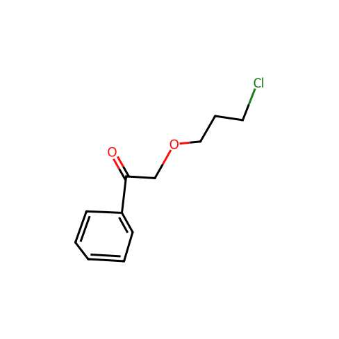 O=C(COCCCCl)c1ccccc1